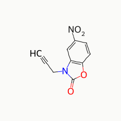 C#CCn1c(=O)oc2ccc([N+](=O)[O-])cc21